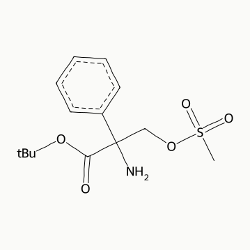 CC(C)(C)OC(=O)C(N)(COS(C)(=O)=O)c1ccccc1